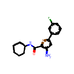 Nc1cc(-c2cccc(F)c2)sc1C(=O)NC1CCCCC1